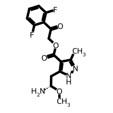 CO[C@H](N)Cc1[nH]nc(C)c1C(=O)OCC(=O)c1c(F)cccc1F